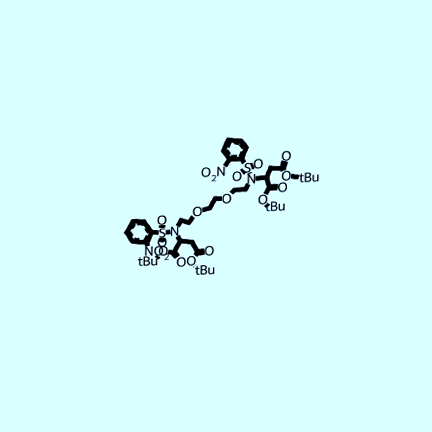 CC(C)(C)OC(=O)CC(C(=O)OC(C)(C)C)N(CCOCCOCCN(C(CC(=O)OC(C)(C)C)C(=O)OC(C)(C)C)S(=O)(=O)c1ccccc1[N+](=O)[O-])S(=O)(=O)c1ccccc1[N+](=O)[O-]